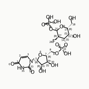 O=c1ccn([C@@H]2O[C@H](COP(=O)(O)O[C@H]3[C@@H](O)[C@@H](CO)OC(OP(=O)(O)O)[C@@H]3F)[C@@H](O)[C@H]2O)c(=O)[nH]1